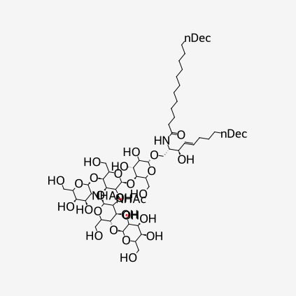 CCCCCCCCCCCCC/C=C/[C@@H](O)[C@H](CO[C@@H]1OC(CO)[C@@H](O[C@@H]2OC(CO)[C@H](O[C@@H]3OC(CO)[C@H](O)[C@H](O)C3NC(C)=O)[C@H](O[C@@H]3OC(CO)[C@@H](O[C@@H]4OC(CO)[C@H](O)[C@H](O)C4O)[C@H](O)C3NC(C)=O)C2O)[C@H](O)C1O)NC(=O)CCCCCCCCCCCCCCCCCCCCC